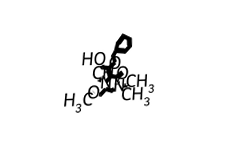 CCN1/C(=C(\CO)OCc2ccccc2)C(=O)N(C(C)C)CC1COC